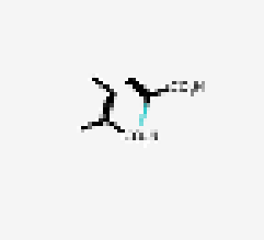 C/C=C(\C)C(=O)O.C=C(F)C(=O)O